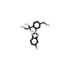 CC(C)(CO)c1ccc(CN)cc1-n1nc2ccc(Cl)cc2n1